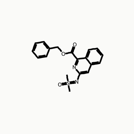 CS(C)(=O)=Nc1cc2ccccc2c(C(=O)OCc2ccccc2)n1